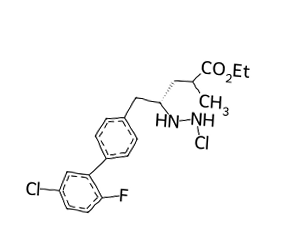 CCOC(=O)C(C)C[C@@H](Cc1ccc(-c2cc(Cl)ccc2F)cc1)NNCl